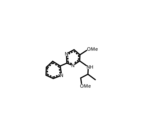 COCC(C)Nc1nc(-c2ccccn2)ncc1OC